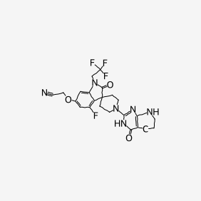 N#CCOc1cc(F)c2c(c1)N(CC(F)(F)F)C(=O)C21CCN(c2nc3c(c(=O)[nH]2)CCCN3)CC1